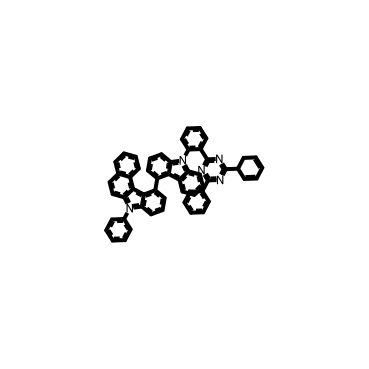 C1=CCC(c2nc(-c3ccccc3)nc(-c3ccccc3-n3c4ccccc4c4c(-c5cccc6c5c5c7ccccc7ccc5n6-c5ccccc5)cccc43)n2)C=C1